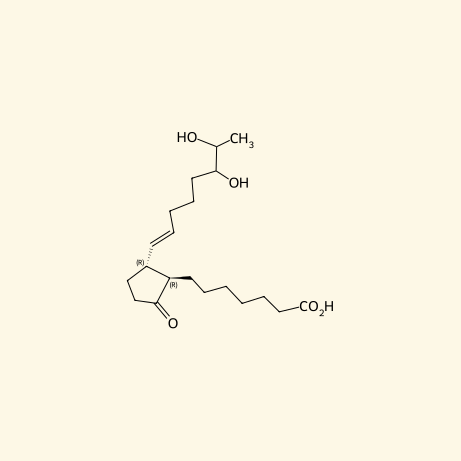 CC(O)C(O)CCCC=C[C@H]1CCC(=O)[C@@H]1CCCCCCC(=O)O